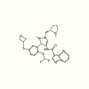 CN1CCC[C@@H]1CN1C=C(NC(=O)c2cnn3cccnc23)C(c2cc(SC3COC3)ccc2OC(F)F)N1C